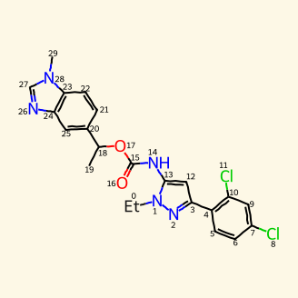 CCn1nc(-c2ccc(Cl)cc2Cl)cc1NC(=O)OC(C)c1ccc2c(c1)ncn2C